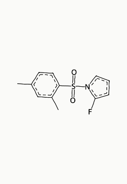 Cc1ccc(S(=O)(=O)n2cccc2F)c(C)c1